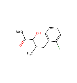 COC(=O)C(O)C(C)Cc1ccccc1F